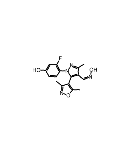 Cc1nn(-c2ccc(O)cc2F)c(-c2c(C)noc2C)c1/C=N\O